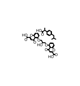 CC(C)Cc1ccc(C(C)C(=O)O)cc1.O=C(O)c1cc(=O)c2c(OCC(O)COc3cccc4oc(C(=O)O)cc(=O)c34)cccc2o1